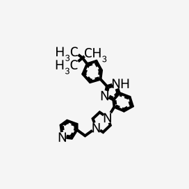 CC(C)(C)c1ccc(-c2nc3c(N4CCN(Cc5cccnc5)CC4)cccc3[nH]2)cc1